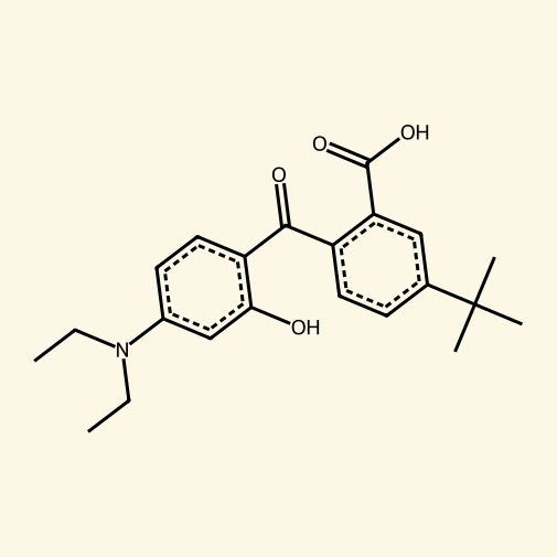 CCN(CC)c1ccc(C(=O)c2ccc(C(C)(C)C)cc2C(=O)O)c(O)c1